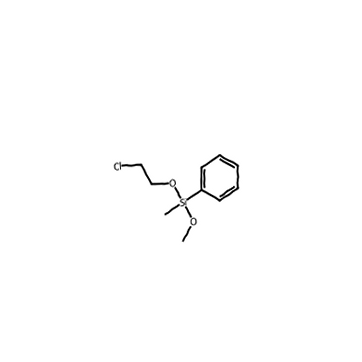 CO[Si](C)(OCCCl)c1ccccc1